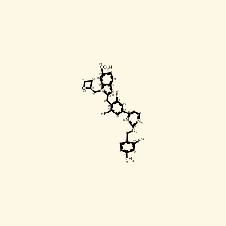 Cc1ccc(COc2nccc(-c3cc(F)c(Cc4nc5ccc(C(=O)O)cc5n4C[C@@H]4CCO4)c(F)c3)n2)c(F)c1